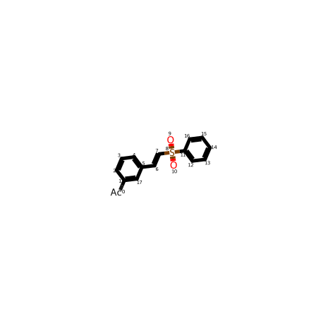 CC(=O)c1cccc(/C=C/S(=O)(=O)c2ccccc2)c1